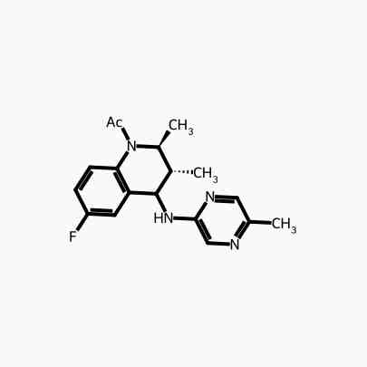 CC(=O)N1c2ccc(F)cc2C(Nc2cnc(C)cn2)[C@@H](C)[C@@H]1C